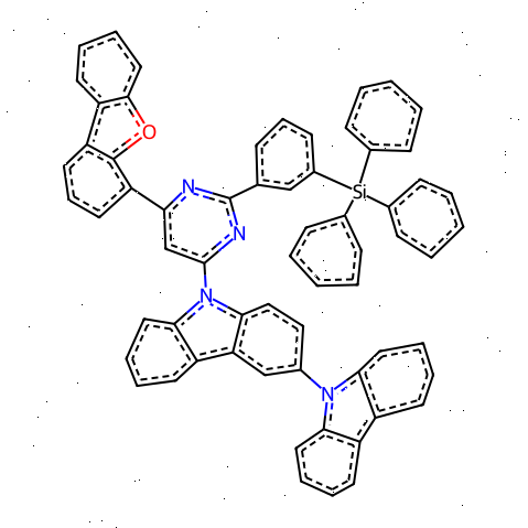 c1ccc([Si](c2ccccc2)(c2ccccc2)c2cccc(-c3nc(-c4cccc5c4oc4ccccc45)cc(-n4c5ccccc5c5cc(-n6c7ccccc7c7ccccc76)ccc54)n3)c2)cc1